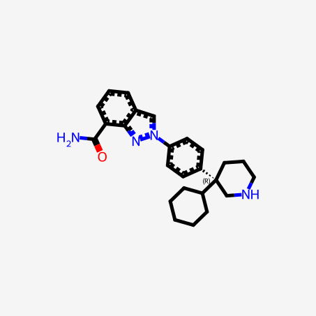 NC(=O)c1cccc2cn(-c3ccc([C@]4(C5CCCCC5)CCCNC4)cc3)nc12